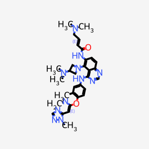 C=N/C(=C\c1ncnn1C)Oc1ccc(Nc2ncnc3ccc(NC(=O)/C=C/CN(C)C)c(N4CC(N(C)C)C4)c23)cc1C